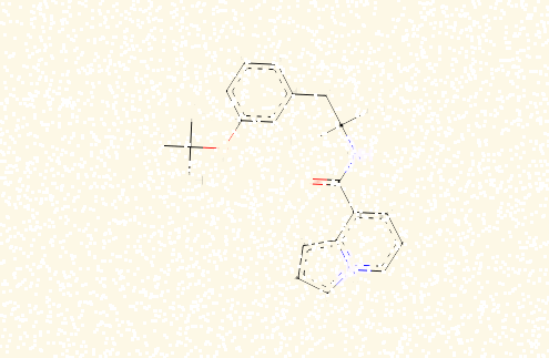 CC(C)(Cc1cccc(OC(C)(C)C)c1)NC(=O)c1cccn2cccc12